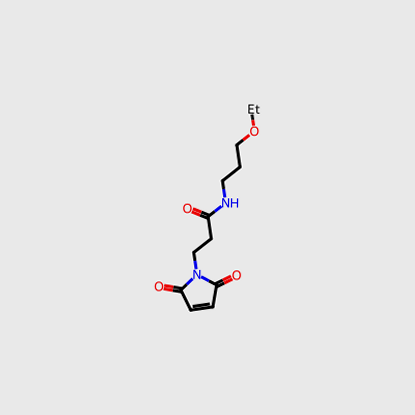 CCOCCCNC(=O)CCN1C(=O)C=CC1=O